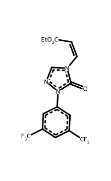 CCOC(=O)/C=C\n1cnn(-c2cc(C(F)(F)F)cc(C(F)(F)F)c2)c1=O